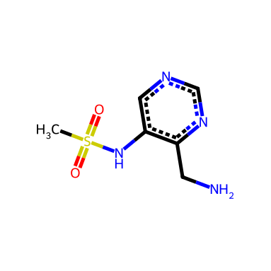 CS(=O)(=O)Nc1cncnc1CN